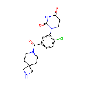 O=C1CCN(c2cc(C(=O)N3CCC4(CC3)CNC4)ccc2Cl)C(=O)N1